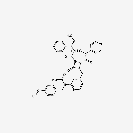 CC[C@@H](NC(=O)N1C(=O)[C@H](Cc2ccnc(N(Cc3ccc(OC)cc3)C(=O)O)c2)[C@H]1C(=O)N(C)c1ccncc1)c1ccccc1